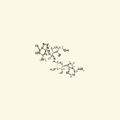 Nc1nc2c(ncn2[C@@H]2O[C@H](CO)[C@@H](F)[C@H]2P(=O)(S)OC[C@H]2O[C@@H](n3ccc4c(N)ncnc43)[C@@H](F)[C@@H]2O)c(=O)[nH]1